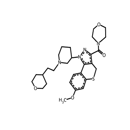 COc1ccc2c(c1)SCc1c(C(=O)N3CCOCC3)nn(C3CCCN(CCC4CCOCC4)C3)c1-2